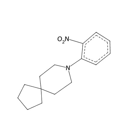 O=[N+]([O-])c1ccccc1N1CCC2(CCCC2)CC1